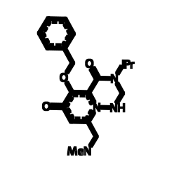 CNCc1cc(=O)c(OCc2ccccc2)c2n1NCN(C(C)C)C2=O